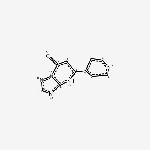 O=c1cc(-c2ccncc2)[nH]c2ncnn12